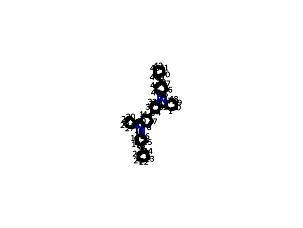 C1=CC2c3cc(-c4ccc5c(c4)c4c(n5-c5ccc(-c6ccccc6)cc5)CCC=C4)ccc3N(c3ccc(-c4ccccc4)cc3)C2C=C1